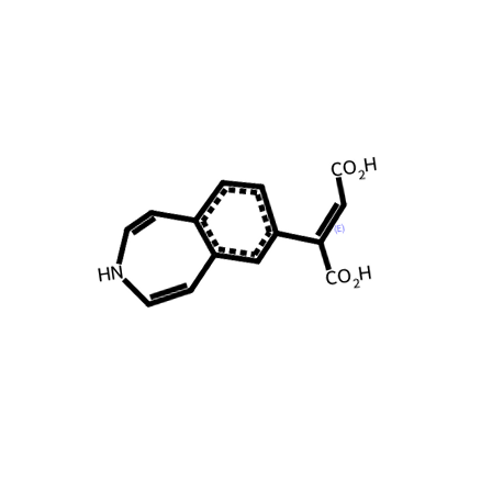 O=C(O)/C=C(/C(=O)O)c1ccc2c(c1)C=CNC=C2